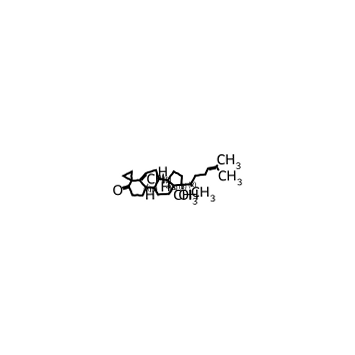 CC(C)=CCC[C@@H](C)[C@@]1(O)CC[C@H]2[C@@H]3CC=C4C5(CC5)C(=O)CC[C@]4(C)[C@H]3CC[C@@]21C